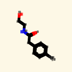 O=C(Cc1ccc(C(F)(F)F)cc1)NCCO